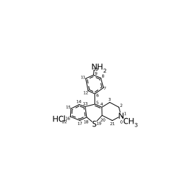 CN1CCC2=C(c3ccc(N)cc3)c3ccccc3SC2C1.Cl